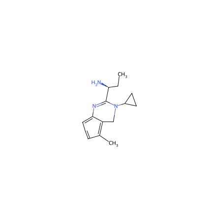 CC[C@H](N)C1=Nc2cccc(C)c2CN1C1CC1